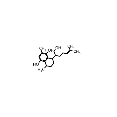 CC(C)=CCCC(CO)C1CCC(C)c2c(O)cc(C)c(O)c21